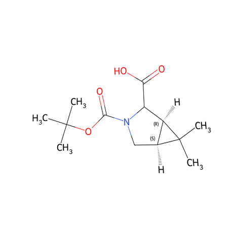 CC(C)(C)OC(=O)N1C[C@H]2[C@@H](C1C(=O)O)C2(C)C